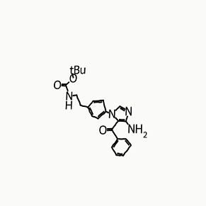 CC(C)(C)OC(=O)NCCc1ccc(-n2cnc(N)c2C(=O)c2ccccc2)cc1